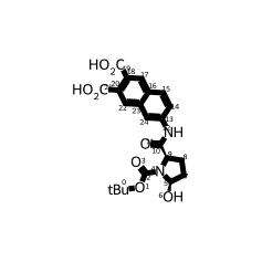 CC(C)(C)OC(=O)N1[C@H](O)CC[C@@H]1C(=O)Nc1ccc2cc(C(=O)O)c(C(=O)O)cc2c1